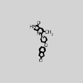 Cc1cc2c(nc1N1CCC(Oc3ccc4c(c3)CC(=O)C4)CC1)CNC2=O